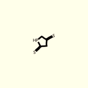 S=C1CPC(=S)C1